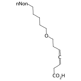 CCCCCCCCCCCCCCOCCC=C=CCC(=O)O